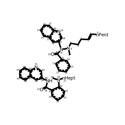 CCCCCC=CCCCN(C)N(C(=O)c1ccccc1)c1cnc2ccccc2c1.CCCCCCCN(C)c1ccccc1C(=O)Nc1cnc2ccccc2c1